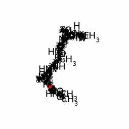 CC(C)OC(=O)NC12CCC(c3ncc(-c4ccc(Nc5cc(CCC(C)OC(=O)Nc6ccc(-c7ncc(-c8ccc(Nc9cn(C)nn9)cc8S(=O)(=O)C8CC8)s7)cc6)[nH]n5)cc4S(=O)(=O)C4CC4)s3)(CC1)CC2